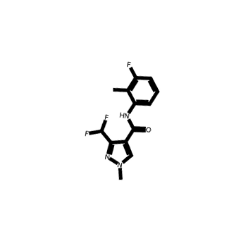 Cc1c(F)cccc1NC(=O)c1cn(C)nc1C(F)F